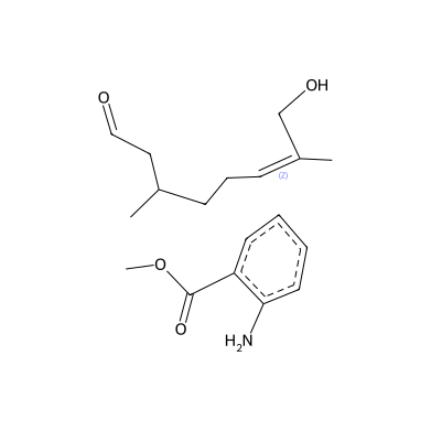 C/C(=C/CCC(C)CC=O)CO.COC(=O)c1ccccc1N